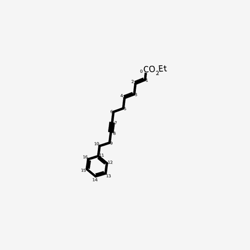 CCOC(=O)/C=C/C=CCCC#CCCc1ccccc1